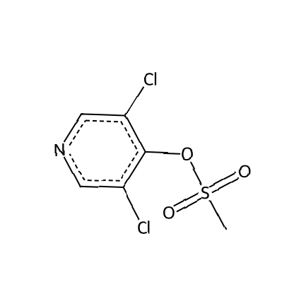 CS(=O)(=O)Oc1c(Cl)cncc1Cl